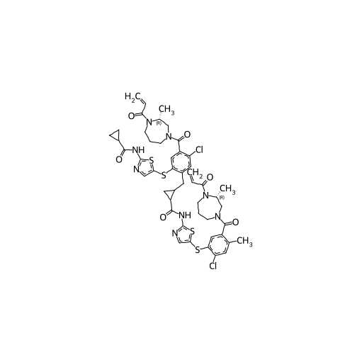 C=CC(=O)N1CCCN(C(=O)c2cc(Sc3cnc(NC(=O)C4CC4Cc4cc(Cl)c(C(=O)N5CCCN(C(=O)C=C)[C@H](C)C5)cc4Sc4cnc(NC(=O)C5CC5)s4)s3)c(Cl)cc2C)C[C@H]1C